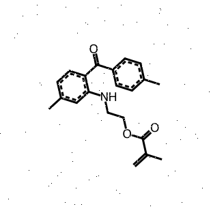 C=C(C)C(=O)OCCNc1cc(C)ccc1C(=O)c1ccc(C)cc1